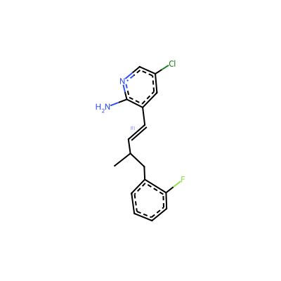 CC(/C=C/c1cc(Cl)cnc1N)Cc1ccccc1F